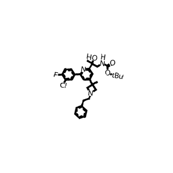 CC(C)(C)OC(=O)NCC(C)(O)c1cc(C2(C)CN(CCc3ccccc3)C2)cc(-c2ccc(F)c(Cl)c2)n1